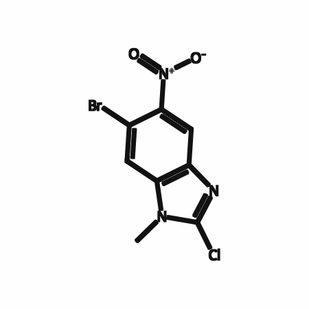 Cn1c(Cl)nc2cc([N+](=O)[O-])c(Br)cc21